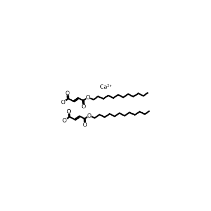 CCCCCCCCCCCCOC(=O)C=CC(=O)[O-].CCCCCCCCCCCCOC(=O)C=CC(=O)[O-].[Ca+2]